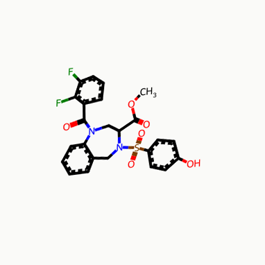 COC(=O)C1CN(C(=O)c2cccc(F)c2F)c2ccccc2CN1S(=O)(=O)c1ccc(O)cc1